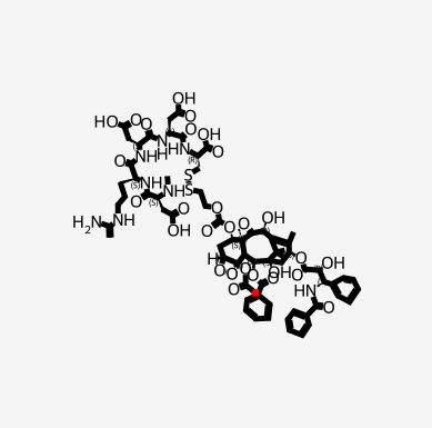 C=C(N)NCCC[C@H](NC(=O)[C@H](CC(=O)O)NC)C(=O)N[C@@H](CC(=O)O)C(=O)N[C@@H](CC(=O)O)C(=O)N[C@@H](CSSCCOC(=O)O[C@H]1C[C@H]2OO[C@@]2(OC(C)=O)C2[C@H](OC(=O)c3ccccc3)[C@]3(O)C[C@H](OC(=O)[C@H](O)[C@@H](NC(=O)c4ccccc4)c4ccccc4)C(C)=C([C@@H](O)C(=O)[C@@]21C)C3(C)C)C(=O)O